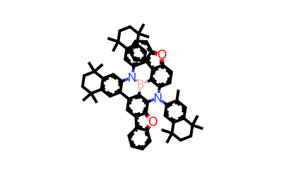 Cc1cc2c(cc1N1c3ccc4oc5ccccc5c4c3B3c4c(cc5c(oc6ccccc65)c41)-c1cc4c(cc1N3c1ccc3c(c1)C(C)(C)CCC3(C)C)C(C)(C)CCC4(C)C)C(C)(C)CCC2(C)C